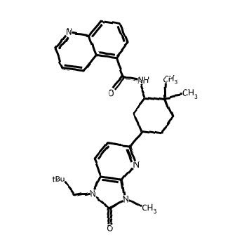 Cn1c(=O)n(CC(C)(C)C)c2ccc(C3CCC(C)(C)C(NC(=O)c4cccc5ncccc45)C3)nc21